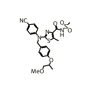 COCC(C)Oc1ccc(CN(c2ccc(C#N)cc2)c2nc(C(=O)NS(C)(=O)=O)c(C)s2)cc1